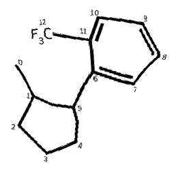 CC1CCCC1c1ccccc1C(F)(F)F